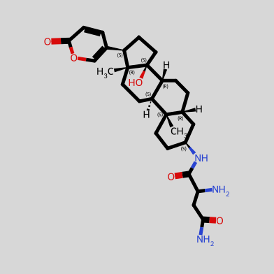 C[C@]12CC[C@H](NC(=O)C(N)CC(N)=O)C[C@H]1CC[C@@H]1[C@@H]2CC[C@]2(C)[C@@H](c3ccc(=O)oc3)CC[C@]12O